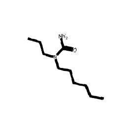 CCCCC[CH]N(CCC)C(N)=O